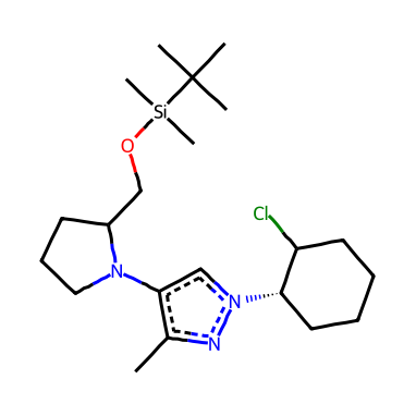 Cc1nn([C@H]2CCCCC2Cl)cc1N1CCCC1CO[Si](C)(C)C(C)(C)C